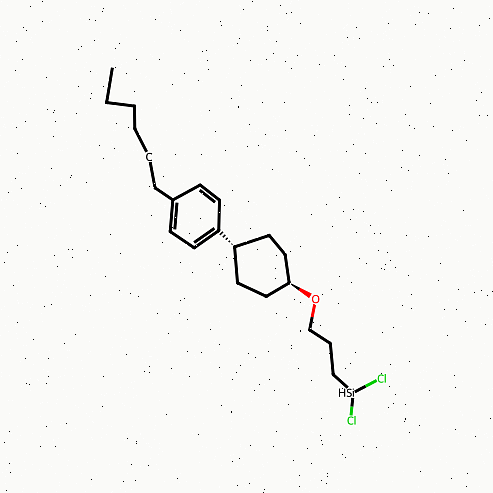 CCCCCCc1ccc([C@H]2CC[C@H](OCCC[SiH](Cl)Cl)CC2)cc1